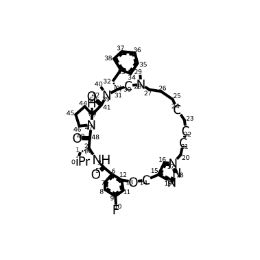 CC(C)C[C@H]1NC(=O)c2ccc(F)cc2OCc2cn(nn2)CCCCCCCCN(C)C[C@@H](Cc2ccccc2)N(C)C(=O)[C@H]2CCCN2C1=O